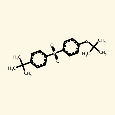 CC(C)(C)Sc1ccc(S(=O)(=O)c2ccc(C(C)(C)C)cc2)cc1